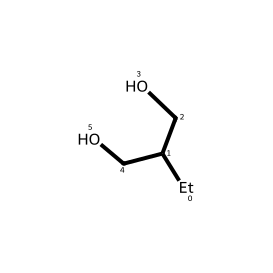 CCC([CH]O)CO